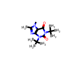 Bc1nc2c(c(=O)n(C(B)(B)B)c(=O)n2C(B)(B)B)n1C